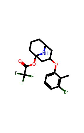 Cc1c(Br)cccc1OC1CC2CCCC(OC(=O)C(F)(F)F)(C1)N2